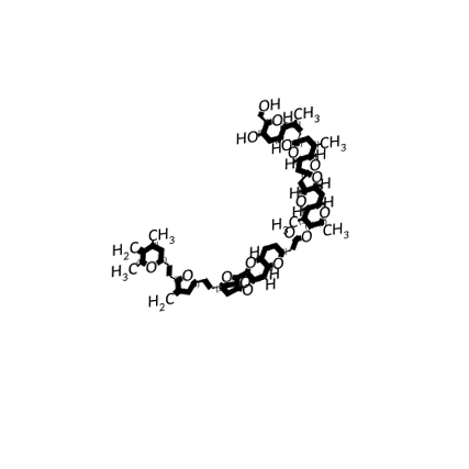 C=C1C[C@H](CC[C@@]23CC4OC5C(O[C@H]6CC[C@H](CC(=O)O[C@@H]7[C@@H](C)[C@@H]8O[C@@H]9C[C@]%10(C[C@@H]%11O[C@]%12(C[C@H](C)[C@@H]%13O[C@H](CO)[C@H](O)C[C@@H]%13O%12)C[C@H](C)[C@@H]%11O%10)O[C@@H]9C[C@@H]8O[C@H]7C)O[C@@H]6[C@@H]5O2)C4O3)O[C@H]1CC[C@H]1C[C@@H](C)C(=C)[C@@H](C)O1